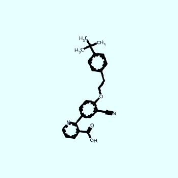 CC(C)(C)c1ccc(CCOc2ccc(-c3ncccc3C(=O)O)cc2C#N)cc1